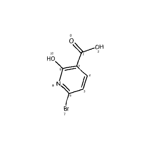 O=C(O)c1ccc(Br)nc1O